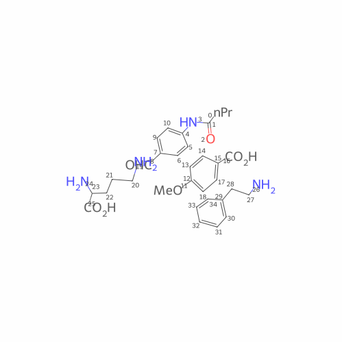 CCCC(=O)Nc1ccc(C=O)cc1.COc1ccc(C(=O)O)cc1.NCCCC(N)C(=O)O.NCCc1ccccc1